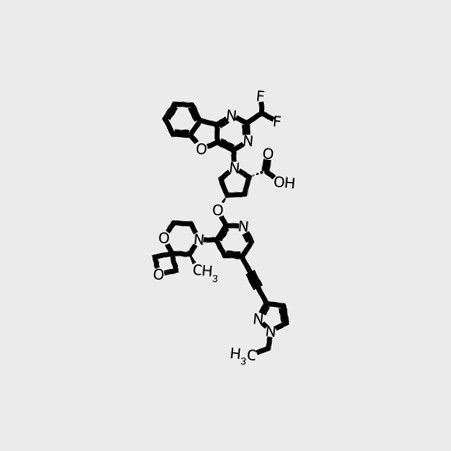 CCn1ccc(C#Cc2cnc(O[C@H]3C[C@@H](C(=O)O)N(c4nc(C(F)F)nc5c4oc4ccccc45)C3)c(N3CCOC4(COC4)[C@@H]3C)c2)n1